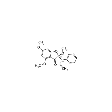 C=C[C@@H](c1ccccc1)[C@@]1(OC)Oc2cc(OC)cc(OC)c2C1=O